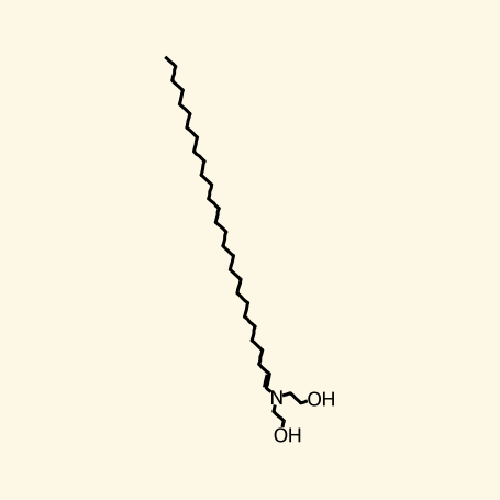 CCCCCCCCCCCCCCCCCCCCCCCCCCCC=CN(CCO)CCO